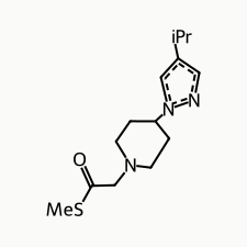 CSC(=O)CN1CCC(n2cc(C(C)C)cn2)CC1